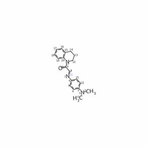 CN(C)c1ccc(/N=C/C(=O)N2CCCc3ccccc32)cc1